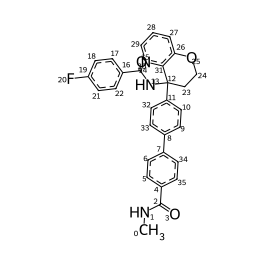 CNC(=O)c1ccc(-c2ccc(C3(NC(=O)c4ccc(F)cc4)CCOc4cccnc43)cc2)cc1